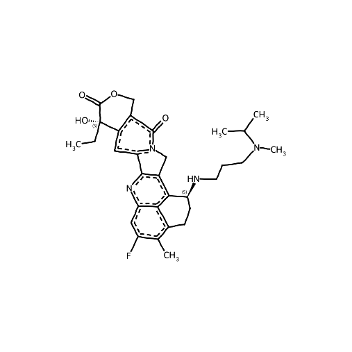 CC[C@@]1(O)C(=O)OCc2c1cc1n(c2=O)Cc2c-1nc1cc(F)c(C)c3c1c2[C@@H](NCCCN(C)C(C)C)CC3